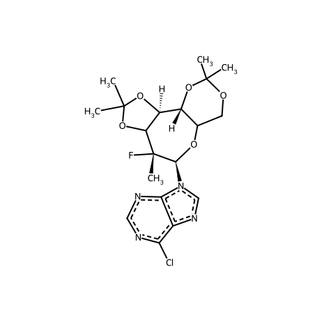 CC1(C)OCC2O[C@@H](n3cnc4c(Cl)ncnc43)[C@](C)(F)C3OC(C)(C)O[C@H]3[C@@H]2O1